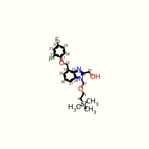 C[Si](C)(C)CCOCn1c(CO)nc2c(COc3ccc(F)cc3F)cccc21